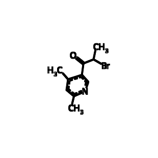 Cc1cc(C)c(C(=O)C(C)Br)cn1